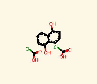 O=C(O)Cl.O=C(O)Cl.Oc1cccc2c(O)cccc12